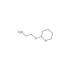 NCCOC1CCCCO1